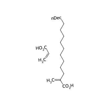 C=C(CCCCCCCCCCCCCCCCCCC)C(=O)O.C=CC(=O)O